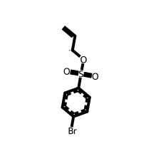 C=C[CH]OS(=O)(=O)c1ccc(Br)cc1